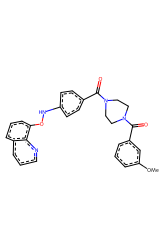 COc1cccc(C(=O)N2CCN(C(=O)c3ccc(NOc4cccc5cccnc45)cc3)CC2)c1